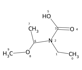 CCN(C(=O)O)C(C)OC